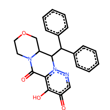 O=C1c2c(O)c(=O)cnn2C(C(c2ccccc2)c2ccccc2)C2COCCN12